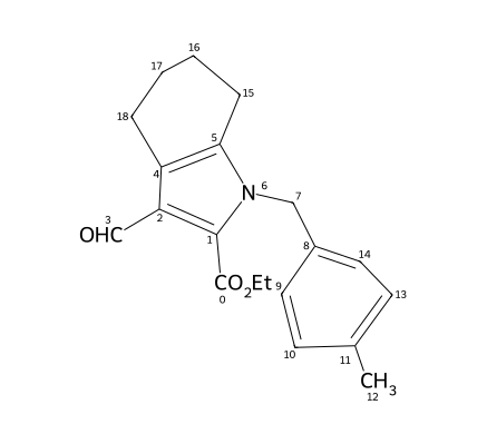 CCOC(=O)c1c(C=O)c2c(n1Cc1ccc(C)cc1)CCCC2